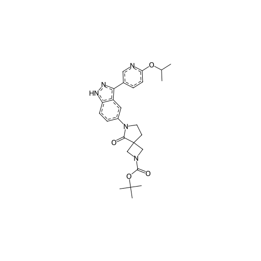 CC(C)Oc1ccc(-c2n[nH]c3ccc(N4CCC5(CN(C(=O)OC(C)(C)C)C5)C4=O)cc23)cn1